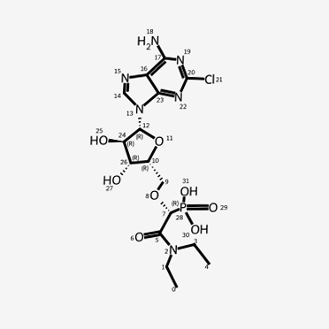 CCN(CC)C(=O)[C@H](OC[C@H]1O[C@@H](n2cnc3c(N)nc(Cl)nc32)[C@H](O)[C@H]1O)P(=O)(O)O